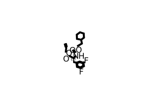 C#CCOC(=O)[C@H](Cc1cc(F)cc(F)c1)NC(=O)OCCC1CCCCC1